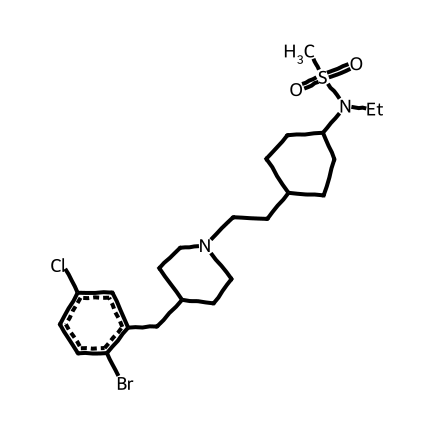 CCN(C1CCC(CCN2CCC(Cc3cc(Cl)ccc3Br)CC2)CC1)S(C)(=O)=O